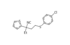 [C-]#[N+]C(CC)(CCSc1ccc(Cl)cc1)c1cccs1